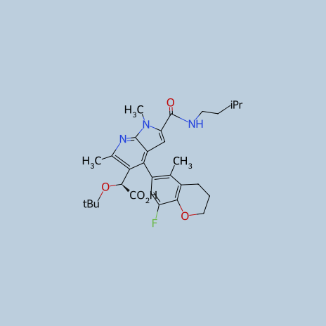 Cc1nc2c(cc(C(=O)NCCC(C)C)n2C)c(-c2cc(F)c3c(c2C)CCCO3)c1[C@H](OC(C)(C)C)C(=O)O